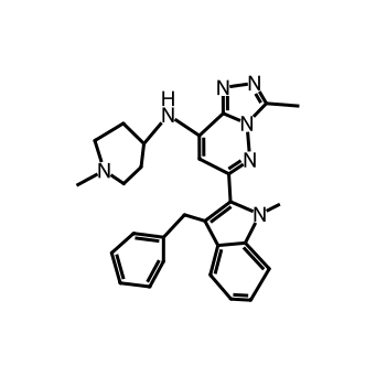 Cc1nnc2c(NC3CCN(C)CC3)cc(-c3c(Cc4ccccc4)c4ccccc4n3C)nn12